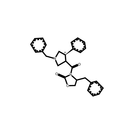 O=C1OCC(Cc2ccccc2)N1C(=O)C1CN(Cc2ccccc2)C[C@H]1c1ccccc1